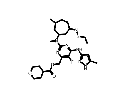 CCSNC1CCC(C)CC(N(C)c2nc(COC(=O)C3CCOCC3)c(F)c(Nc3cc(C)[nH]n3)n2)C1